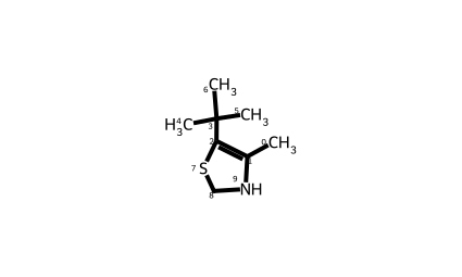 CC1=C(C(C)(C)C)SCN1